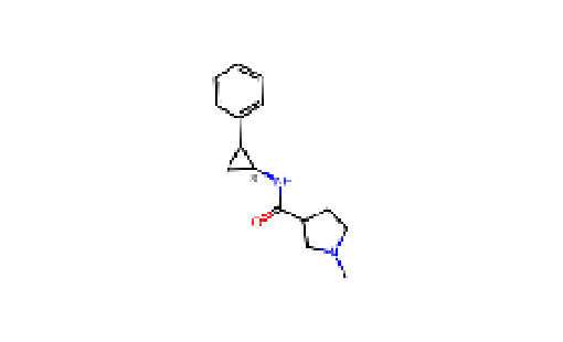 CN1CCC(C(=O)N[C@H]2CC2c2ccccc2)C1